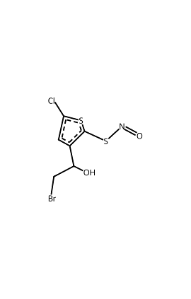 O=NSc1sc(Cl)cc1C(O)CBr